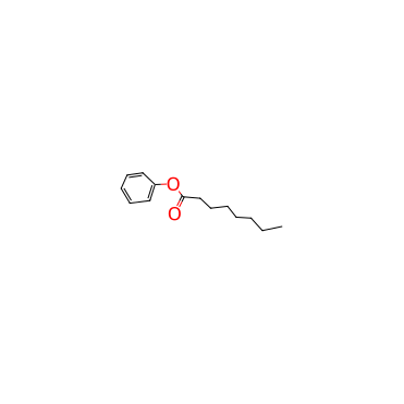 CCCCCCCC(=O)Oc1ccccc1